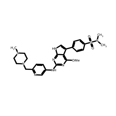 COc1nc(Nc2ccc(CN3CCN(C)CC3)nc2)nc2[nH]cc(-c3ccc(S(=O)(=O)N(C)C)cc3)c12